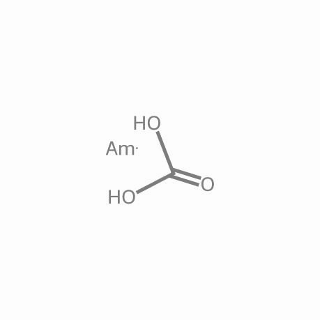 O=C(O)O.[Am]